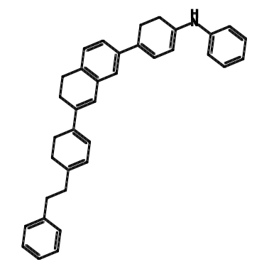 C1=C(CCc2ccccc2)CCC(C2=Cc3cc(C4=CC=C(Nc5ccccc5)CC4)ccc3CC2)=C1